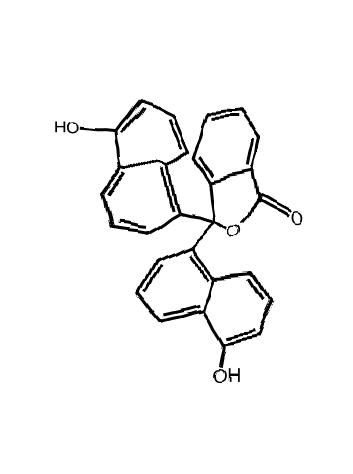 O=C1OC(c2cccc3c(O)cccc23)(c2cccc3c(O)cccc23)c2ccccc21